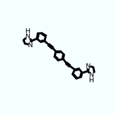 C(#Cc1cccc(C2=NCCN2)c1)c1ccc(C#Cc2cccc(C3=NCCN3)c2)cc1